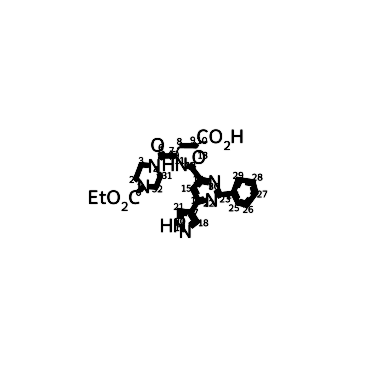 CCOC(=O)N1CCN(C(=O)[C@H](CCC(=O)O)NC(=O)c2cc(-c3cn[nH]c3)nc(-c3ccccc3)n2)CC1